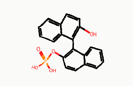 O=P(O)(O)Oc1ccc2ccccc2c1-c1c(O)ccc2ccccc12